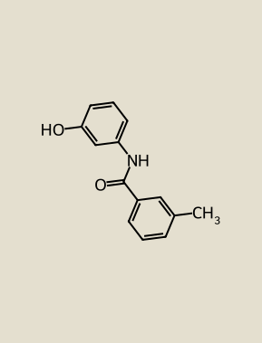 Cc1cccc(C(=O)Nc2cccc(O)c2)c1